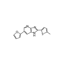 Cc1ccc(-c2nc3ncc(-c4ccco4)cc3[nH]2)s1